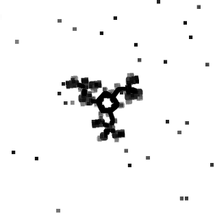 O=P(O)(O)Cc1cc(O)cc(CP(=O)(O)O)c1.O=[PH](O)O